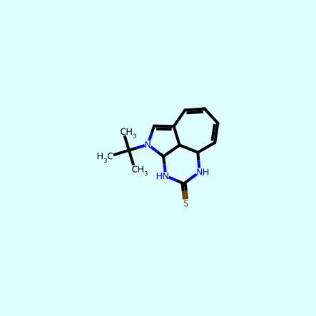 CC(C)(C)N1C=C2C=CC=CC3NC(=S)NC1C23